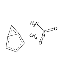 C.N[SH](=O)=O.c1cc2cc-2c1